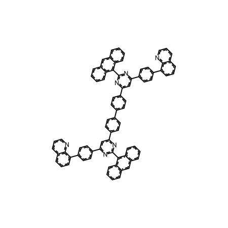 c1ccc2c(-c3nc(-c4ccc(-c5ccc(-c6cc(-c7ccc(-c8cccc9cccnc89)cc7)nc(-c7c8ccccc8cc8ccccc78)n6)cc5)cc4)cc(-c4ccc(-c5cccc6cccnc56)cc4)n3)c3ccccc3cc2c1